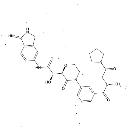 CN(CC(=O)N1CCCC1)C(=O)c1cccc(N2CCO[C@H]([C@@H](O)C(=O)Nc3ccc4c(c3)CNC4=N)C2=O)c1